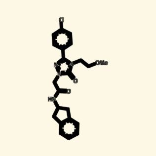 COCCn1c(-c2ccc(Cl)cc2)nn(CC(=O)NC2Cc3ccccc3C2)c1=O